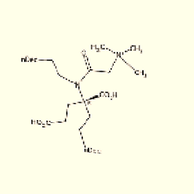 CCCCCCCCCCCCN(C(=O)C[N+](C)(C)C)[C@](CCCCCCCCCCCC)(CCC(=O)O)C(=O)O